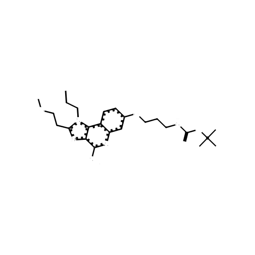 CCCn1c(CCOC)nc2c(N)nc3cc(OCCCNC(=O)OC(C)(C)C)ccc3c21